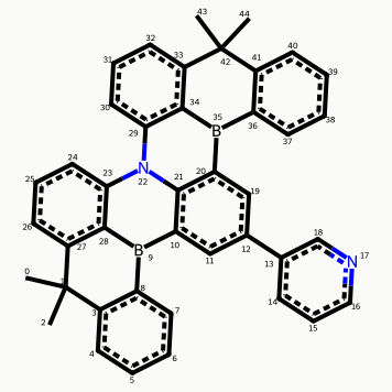 CC1(C)c2ccccc2B2c3cc(-c4cccnc4)cc4c3N(c3cccc1c32)c1cccc2c1B4c1ccccc1C2(C)C